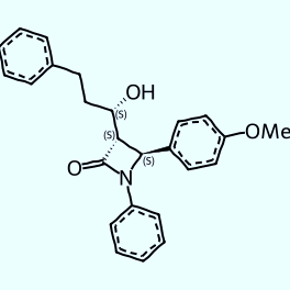 COc1ccc([C@@H]2[C@@H]([C@@H](O)CCc3ccccc3)C(=O)N2c2ccccc2)cc1